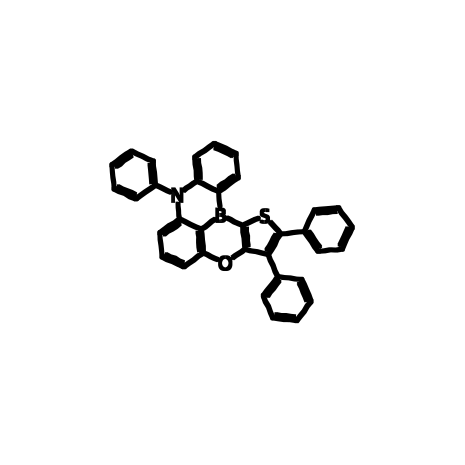 c1ccc(-c2sc3c(c2-c2ccccc2)Oc2cccc4c2B3c2ccccc2N4c2ccccc2)cc1